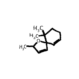 CC1C=CC2(C=CCCC2(C)C)O1